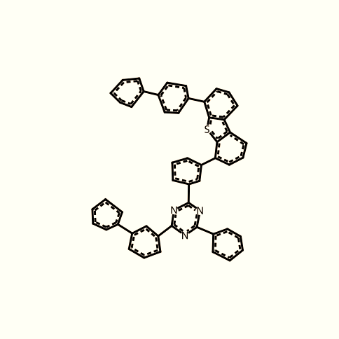 c1ccc(-c2ccc(-c3cccc4c3sc3c(-c5cccc(-c6nc(-c7ccccc7)nc(-c7cccc(-c8ccccc8)c7)n6)c5)cccc34)cc2)cc1